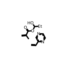 C=C(C)C(=O)OC(O)CC.C=Cc1cnccn1